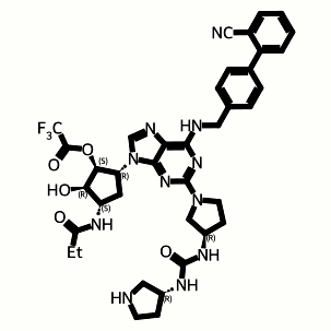 CCC(=O)N[C@H]1C[C@@H](n2cnc3c(NCc4ccc(-c5ccccc5C#N)cc4)nc(N4CC[C@@H](NC(=O)N[C@@H]5CCNC5)C4)nc32)[C@H](OC(=O)C(F)(F)F)[C@@H]1O